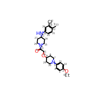 CCOc1ccc(N2CCC(OCC(=O)N3CCC(Nc4ccc(C)c(C(F)(F)F)c4)CC3)CC2)cc1